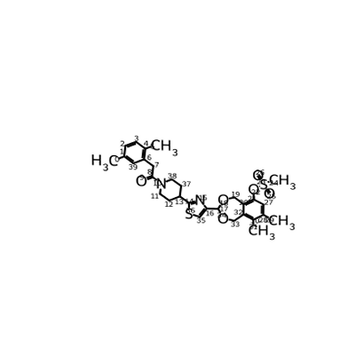 Cc1ccc(C)c(CC(=O)N2CCC(c3nc(C4OCc5c(OS(C)(=O)=O)cc(C)c(C)c5CO4)cs3)CC2)c1